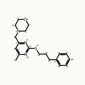 Cc1cc(CN2CCOCC2)nc(SCCCc2ccccc2)n1